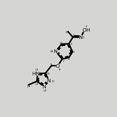 C/C(=N\O)c1ccc(OCc2nnc(C)[nH]2)nc1